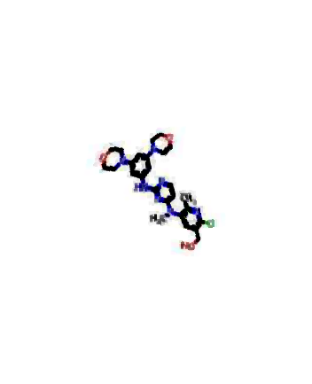 Cc1nc(Cl)c(CO)cc1N(C)c1ccnc(Nc2cc(N3CCOCC3)cc(N3CCOCC3)c2)n1